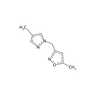 Cc1cnn(Cc2cc(C)on2)c1